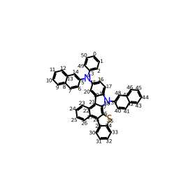 c1ccc(N(c2ccc3ccccc3c2)c2ccc3c(c2)c2c4ccccc4c4c5ccccc5sc4c2n3-c2ccc3ccccc3c2)cc1